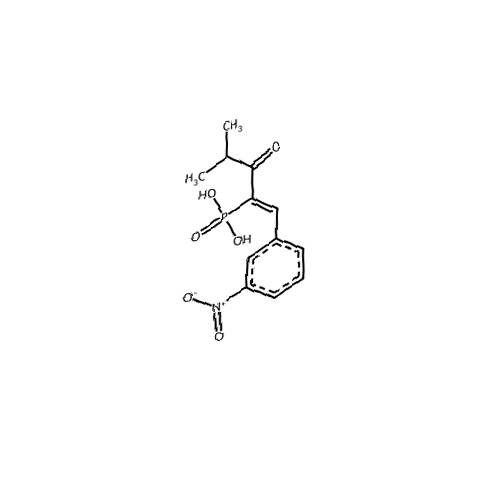 CC(C)C(=O)/C(=C/c1cccc([N+](=O)[O-])c1)P(=O)(O)O